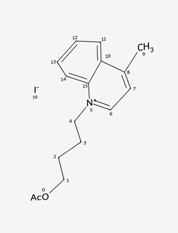 CC(=O)OCCCC[n+]1ccc(C)c2ccccc21.[I-]